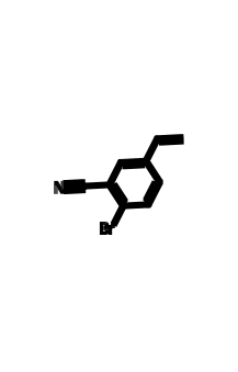 C=Cc1ccc(Br)c(C#N)c1